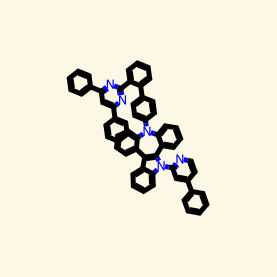 c1ccc(-c2ccnc(-n3c4c(c5ccccc53)-c3ccccc3N(c3ccc(-c5ccccc5-c5nc(-c6ccccc6)cc(-c6ccccc6)n5)cc3)c3ccccc3-4)c2)cc1